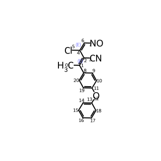 C/C(=C(C#N)\C(Cl)=C/N=O)c1ccc(Oc2ccccc2)cc1